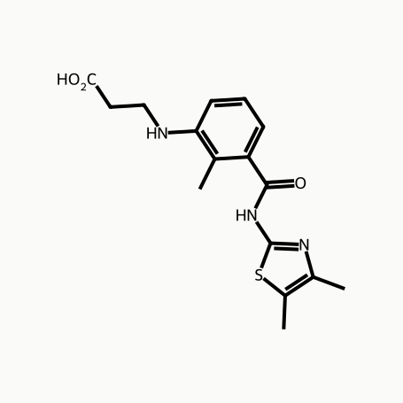 Cc1nc(NC(=O)c2cccc(NCCC(=O)O)c2C)sc1C